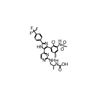 CC(CNc1nccc(-c2[nH]c(-c3ccc(C(F)(F)F)cc3)nc2-c2cc(F)cc(NS(C)(=O)=O)c2Cl)n1)NC(=O)O